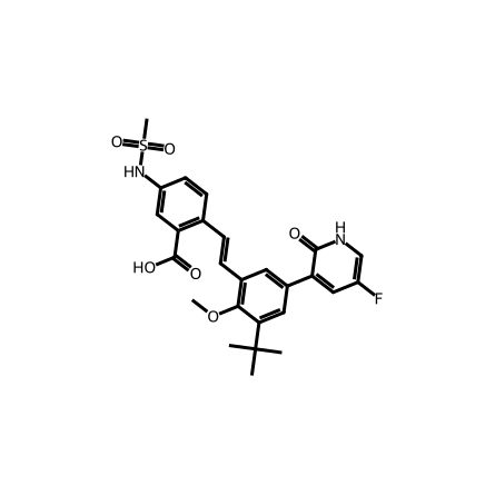 COc1c(C=Cc2ccc(NS(C)(=O)=O)cc2C(=O)O)cc(-c2cc(F)c[nH]c2=O)cc1C(C)(C)C